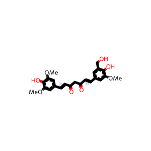 COc1cc(/C=C/C(=O)CC(=O)/C=C/c2cc(OC)c(O)c(OC)c2)cc(CO)c1O